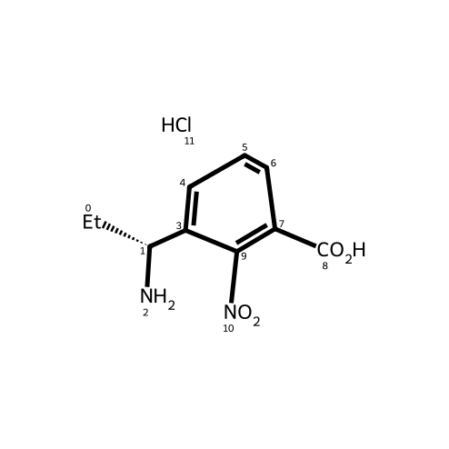 CC[C@@H](N)c1cccc(C(=O)O)c1[N+](=O)[O-].Cl